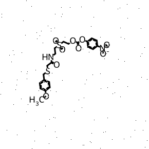 COc1ccc(CSCC(=O)NCCS(=O)(=O)CCOC(=O)Oc2ccc([N+](=O)[O-])cc2)cc1